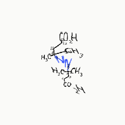 CC(C)(CCC(=O)O)N=NC(C)(C)CCC(=O)O